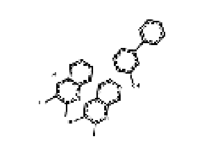 Cc1nc2ccccc2cc1O.Cc1nc2ccccc2cc1O.Oc1cccc(-c2ccccc2)c1.[Al]